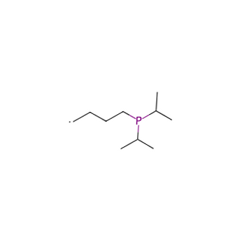 [CH2]CCCP(C(C)C)C(C)C